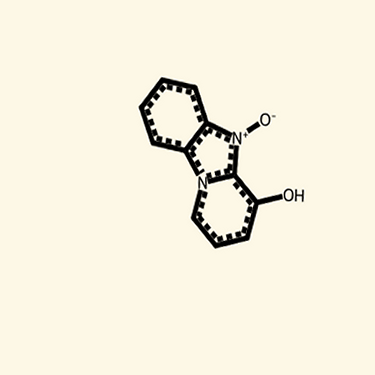 [O-][n+]1c2ccccc2n2cccc(O)c21